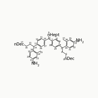 CCCCCCCCCCCCC(c1ccc(C(CCCCCCC)c2ccc(C(CCCCCCCCCCCC)c3ccc(N)cc3C)cc2)cc1)c1ccc(N)cc1C